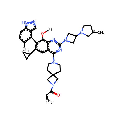 C=CC(=O)N1CC2(CCN(c3nc(N4CC(N5CC[C@@H](C)C5)C4)nc4c(OCC)c(-c5c(C)ccc6[nH]ncc56)c(C5CC5)cc34)CC2)C1